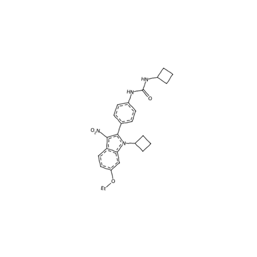 CCOc1ccc2c([N+](=O)[O-])c(-c3ccc(NC(=O)NC4CCC4)cc3)n(C3CCC3)c2c1